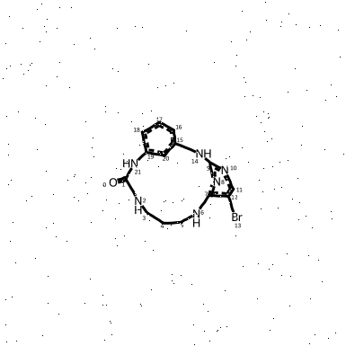 O=C1NCCCNc2nc(ncc2Br)Nc2cccc(c2)N1